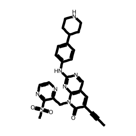 CC#Cc1cc2cnc(Nc3ccc(C4CCNCC4)cc3)nc2n(Cc2nccnc2S(C)(=O)=O)c1=O